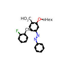 CCCCCCOc1cc(N=Nc2ccccc2)ccc1C(=O)O.N#Cc1ccccc1F